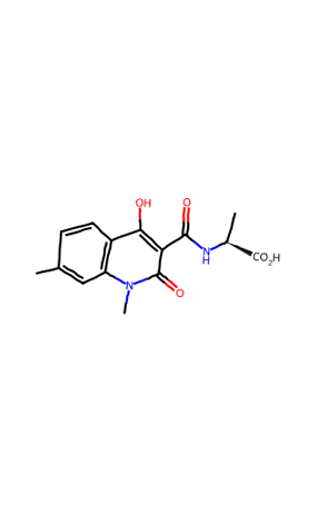 Cc1ccc2c(O)c(C(=O)N[C@@H](C)C(=O)O)c(=O)n(C)c2c1